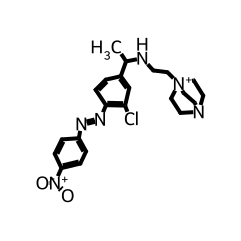 CC(NCC[N+]12CCN(CC1)CC2)c1ccc(N=Nc2ccc([N+](=O)[O-])cc2)c(Cl)c1